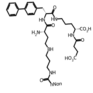 CCCCCCCCCC(=O)NCCCBCC[C@H](N)C(=O)N[C@H](Cc1ccc(-c2ccccc2)cc1)C(=O)NCCC[C@@H](NC(=O)CCC(=O)O)C(=O)O